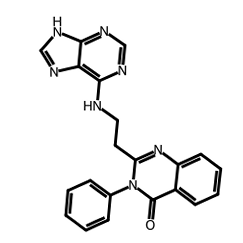 O=c1c2ccccc2nc(CCNc2ncnc3[nH]cnc23)n1-c1ccccc1